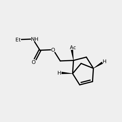 CCNC(=O)OC[C@]1(C(C)=O)C[C@@H]2C=C[C@H]1C2